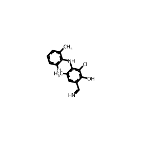 Cc1cccc(Cl)c1Nc1c(C)cc(C=N)c(O)c1Cl